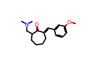 COc1cccc(C=C2CCCCC(CN(C)C)C2=O)c1